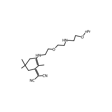 CCCOCCNCCOCCNC1=C(C)C(=C(C#N)C#N)CC(C)(C)C1